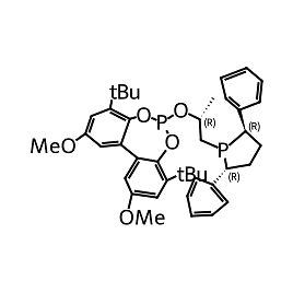 COc1cc(C(C)(C)C)c2op(O[C@H](C)CP3[C@@H](c4ccccc4)CC[C@@H]3c3ccccc3)oc3c(C(C)(C)C)cc(OC)cc3c2c1